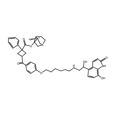 O=C(c1ccc(OCCCCCCNCC(O)c2ccc(O)c3[nH]c(=O)ccc23)cc1)N1CC(C(=O)O[C@H]2CN3CCC2CC3)(c2ccccc2)C1